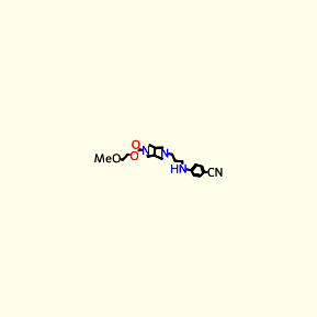 COCCOC(=O)N1CC2CN(CCCNc3ccc(C#N)cc3)CC2C1